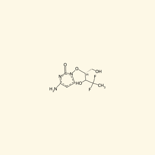 CC(F)(F)C(O)[C@@H](CO)On1ccc(N)nc1=O